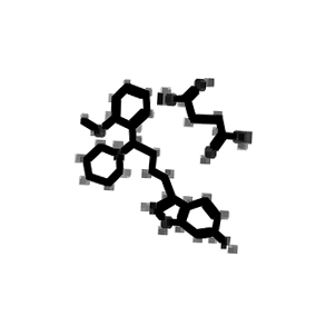 COc1ccccc1C(CCCc1noc2cc(F)ccc12)N1CCCCC1.O=C(O)C=CC(=O)O